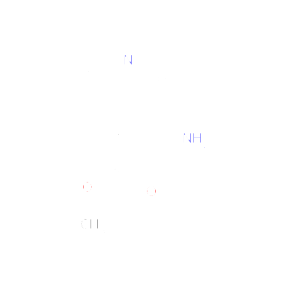 COC(=O)c1ccn[c]c1N